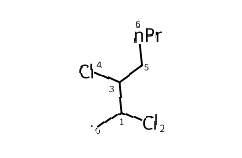 [CH2]C(Cl)C(Cl)CCCC